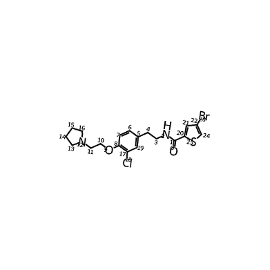 O=C(NCCc1ccc(OCCN2CCCC2)c(Cl)c1)c1cc(Br)cs1